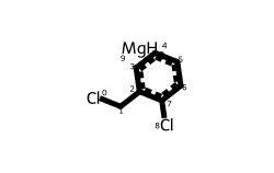 ClCc1ccccc1Cl.[MgH2]